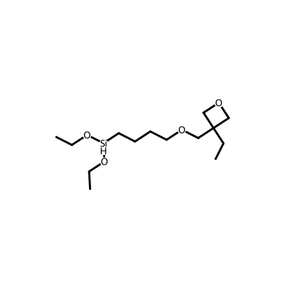 CCO[SiH](CCCCOCC1(CC)COC1)OCC